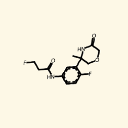 CC1(c2cc(NC(=O)CCF)ccc2F)COCC(=O)N1